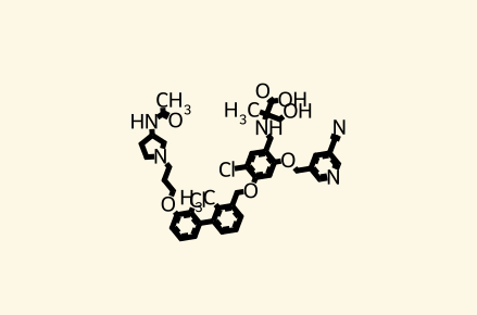 CC(=O)NC1CCN(CCCOc2cccc(-c3cccc(COc4cc(OCc5cncc(C#N)c5)c(CNC(C)(CO)C(=O)O)cc4Cl)c3C)c2Cl)C1